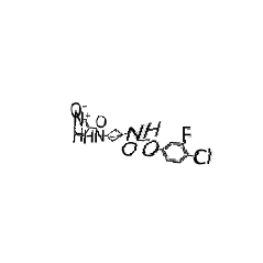 O=C(COc1ccc(Cl)c(F)c1)NC12CC(NC(=O)C3=C[NH+]([O-])CC=C3)(C1)C2